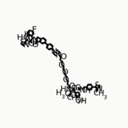 Cc1ncsc1-c1ccc(CNC(=O)[C@@H]2C[C@@H](O)CC2C(=O)[C@@H](NC(=O)CCOCCOCCOCCC(=O)N2CCN(c3ccc(-c4ccc5c(c4)C(=O)N(C(C(=O)Nc4nccs4)c4cc(F)ccc4O)C5)cc3)CC2)C(C)(C)C)cc1